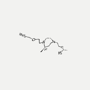 CSCOCCN1CCN(CCOC(C)S)C[C@H]1C